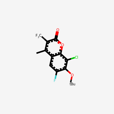 Cc1c(C(F)(F)F)c(=O)oc2c(Cl)c(OC(C)(C)C)c(F)cc12